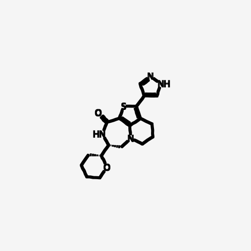 O=C1N[C@@H]([C@H]2CCCCO2)CN2CCCc3c(-c4cn[nH]c4)sc1c32